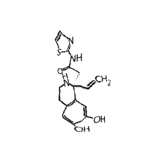 C=C[C@]1(CC(=O)Nc2nccs2)NCCc2cc(O)c(O)cc21